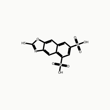 O=S(=O)(O)c1cc(S(=O)(=O)O)c2cc3nc(S)oc3cc2c1